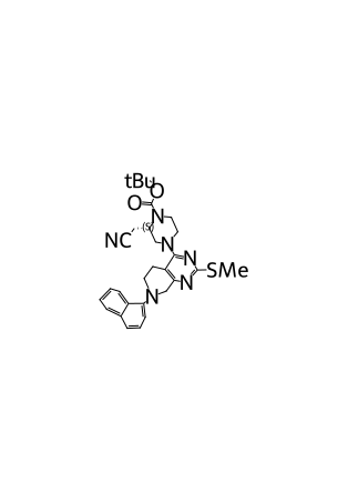 CSc1nc2c(c(N3CCN(C(=O)OC(C)(C)C)[C@@H](CC#N)C3)n1)CCN(c1cccc3ccccc13)C2